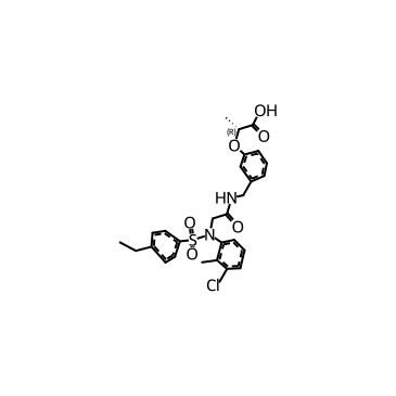 CCc1ccc(S(=O)(=O)N(CC(=O)NCc2cccc(O[C@H](C)C(=O)O)c2)c2cccc(Cl)c2C)cc1